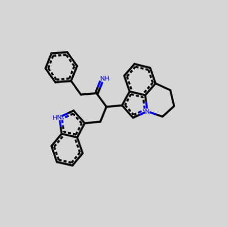 N=C(Cc1ccccc1)C(Cc1c[nH]c2ccccc12)c1cn2c3c(cccc13)CCC2